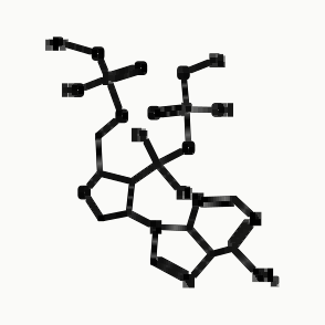 CCCOP(=O)(O)OCC1OCC(N2C=NC3C(N)=NC=NC32)C1C(CC)(CC)OP(=O)(O)OCC